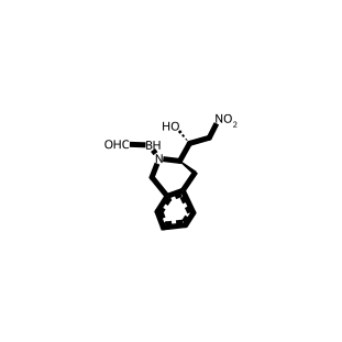 O=CBN1Cc2ccccc2C[C@@H]1[C@H](O)C[N+](=O)[O-]